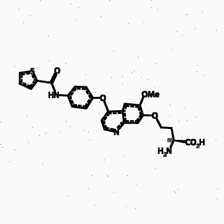 COc1cc2c(Oc3ccc(NC(=O)c4cccs4)cc3)ccnc2cc1OCC[C@H](N)C(=O)O